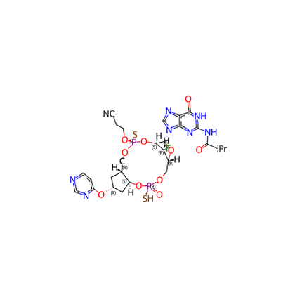 CC(C)C(=O)Nc1nc2c(ncn2[C@@H]2O[C@@H]3CO[P@@](=O)(S)O[C@H]4C[C@H](Oc5ccncn5)C[C@@H]4CO[P@@](=S)(OCCC#N)O[C@@H]2[C@@H]3F)c(=O)[nH]1